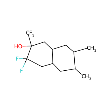 CC1CC2CC(F)(F)C(O)(C(F)(F)F)CC2CC1C